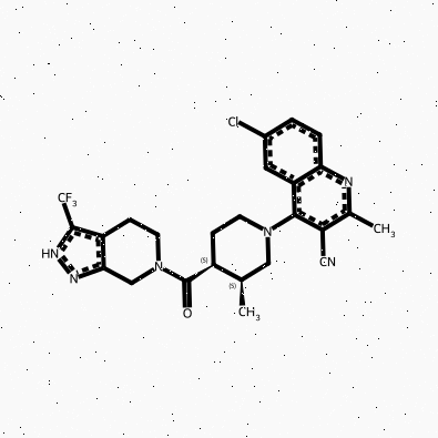 Cc1nc2ccc(Cl)cc2c(N2CC[C@H](C(=O)N3CCc4c(n[nH]c4C(F)(F)F)C3)[C@H](C)C2)c1C#N